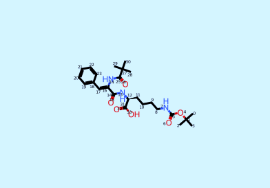 CC(C)(C)OC(=O)NCCCC[C@H](NC(=O)/C(=C/c1ccccc1)NC(=O)C(C)(C)C)C(=O)O